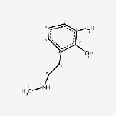 CNCCc1cccc(O)c1O